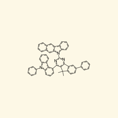 CC1(C)c2ccc(-c3ccccc3)cc2-c2nc(-n3c4ccccc4c4cc5ccccc5cc43)nc(-c3cccc4c3c3ccccc3n4-c3ccccc3)c21